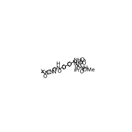 COC(=O)N[C@H](C(=O)N1CC2(C[C@H]1c1nc(-c3ccc(-c4ccc(C(=O)Nc5ccc(N6CCN(C(=O)C7CC7(C)C)C[C@H]6C)nc5)cc4)cc3)c[nH]1)OCCO2)C(C)C